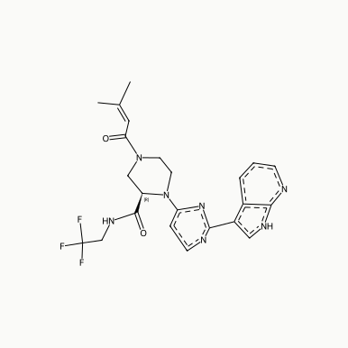 CC(C)=CC(=O)N1CCN(c2ccnc(-c3c[nH]c4ncccc34)n2)[C@@H](C(=O)NCC(F)(F)F)C1